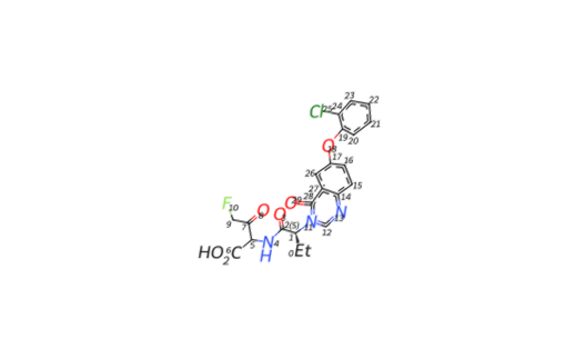 CC[C@@H](C(=O)NC(C(=O)O)C(=O)CF)n1cnc2ccc(Oc3ccccc3Cl)cc2c1=O